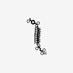 CC(=O)c1ccc(C(=O)OCC(F)(F)C(F)(F)C(F)(F)C(F)(F)C(F)(F)C(F)(F)C(F)(F)C(F)(F)COC(=O)CCC(=O)O)cc1